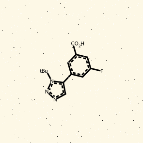 CC(C)(C)n1nncc1-c1cc(F)cc(C(=O)O)c1